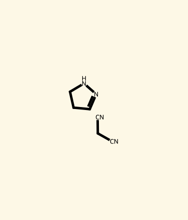 C1=NNCC1.N#CCC#N